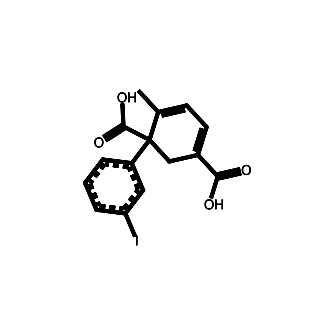 CC1=CC=C(C(=O)O)CC1(C(=O)O)c1cccc(I)c1